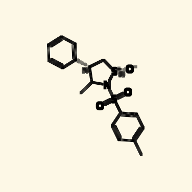 Cc1ccc(S(=O)(=O)N2C(C)[C@H](c3ccccc3)C[S@+]2[O-])cc1